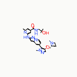 Cc1cc(C(=O)NCC(C)(C)O)cc(Nc2cc3cc(-c4c(OC[C@H]5CCN5C)cnn4C)ccn3n2)n1